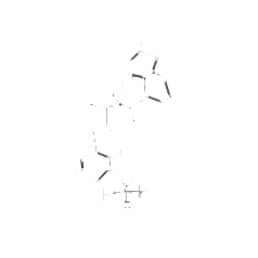 C[C@H](CCc1cccc(OC(F)(F)F)c1)N[C@H](C)c1cccc2ccccc12